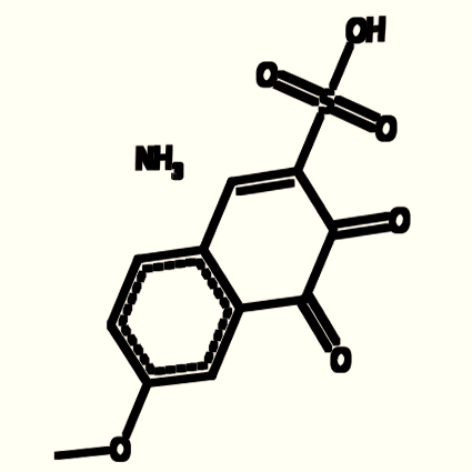 COc1ccc2c(c1)C(=O)C(=O)C(S(=O)(=O)O)=C2.N